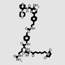 CC(C)C(NC(=O)CCCCCN1C(=O)C=CC1=O)C(=O)N[C@@H](CCCNC(N)=O)C(=O)Nc1ccc(COC(=O)NCCc2ccc(-c3cnc(N)c(C(=O)Nc4cnccc4N4CCOCC4)n3)cc2)cc1